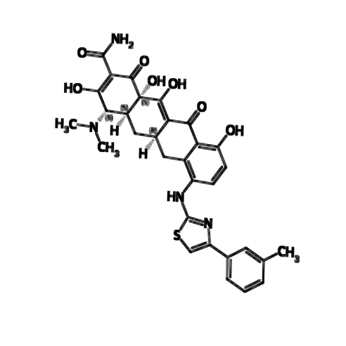 Cc1cccc(-c2csc(Nc3ccc(O)c4c3C[C@H]3C[C@H]5[C@H](N(C)C)C(O)=C(C(N)=O)C(=O)[C@@]5(O)C(O)=C3C4=O)n2)c1